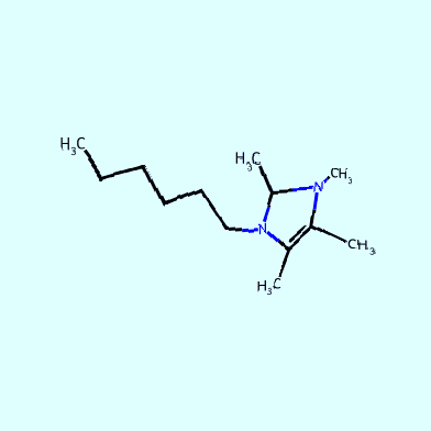 CCCCCCN1C(C)=C(C)N(C)C1C